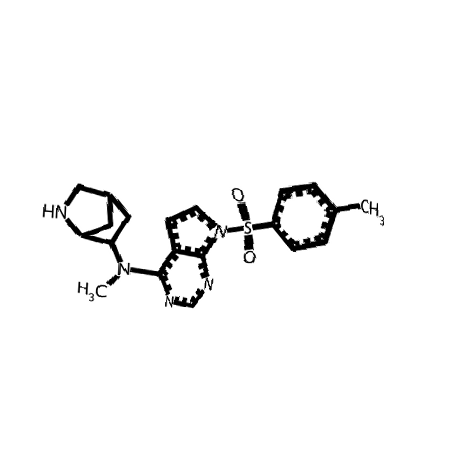 Cc1ccc(S(=O)(=O)n2ccc3c(N(C)C4CC5CNC4C5)ncnc32)cc1